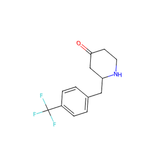 O=C1CCNC(Cc2ccc(C(F)(F)F)cc2)C1